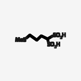 CSCCC[C](S(=O)(=O)O)S(=O)(=O)O